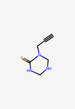 C#CCN1CNCNC1=S